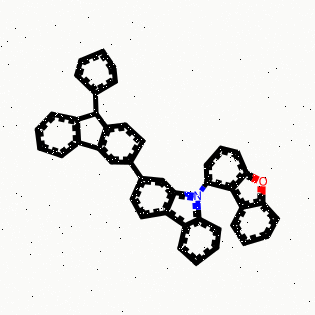 c1ccc(C2c3ccccc3-c3cc(-c4ccc5c6ccccc6n(-c6cccc7oc8ccccc8c67)c5c4)ccc32)cc1